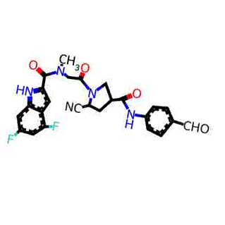 CN(CC(=O)N1CC(C(=O)Nc2ccc(C=O)cc2)CC1C#N)C(=O)c1cc2c(F)cc(F)cc2[nH]1